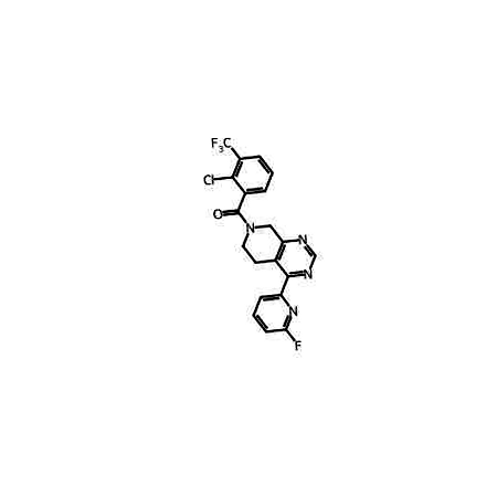 O=C(c1cccc(C(F)(F)F)c1Cl)N1CCc2c(ncnc2-c2cccc(F)n2)C1